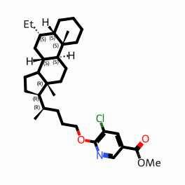 CC[C@H]1C[C@H]2C3CC[C@H]([C@H](C)CCCOc4ncc(C(=O)OC)cc4Cl)[C@@]3(C)CC[C@@H]2[C@@]2(C)CCCC[C@@H]12